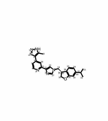 Cc1[nH]nnc1-c1ccnc(-c2cn(C[C@@H]3COc4cc(C(C)C)ccc43)cn2)c1